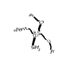 CC(C)O[SiH2]OC(C)C.CCCCCO[SiH3]